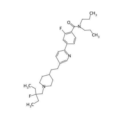 CCCN(CCC)C(=O)c1ccc(-c2ccc(CCC3CCN(CC(F)(CC)CC)CC3)cn2)cc1F